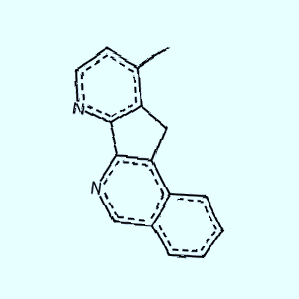 Cc1ccnc2c1Cc1c-2ncc2ccccc12